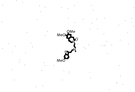 COc1ccc2c(CCN(C)CCCN3C=Cc4cc(OC)c(OC)cc4CC3=O)csc2c1